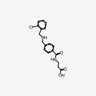 O=C(O)CCNC(=O)c1ccc(CNCc2ccccc2Cl)cc1